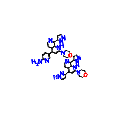 Nc1ccc(-c2cc(N3CCOCC3)nc3c(-c4ccn[nH]4)nccc23)cn1.c1cc(-c2nccc3c(-c4cc[nH]n4)cc(N4CCOCC4)nc23)[nH]n1